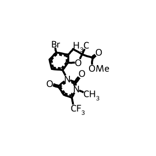 COC(=O)C1(C)Cc2c(Br)ccc(-n3c(=O)cc(C(F)(F)F)n(C)c3=O)c2O1